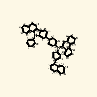 c1ccc(-n2c3cc(-c4ccc(N(c5ccc(-c6cccc7ccccc67)cc5)c5cc6ccccc6c6ccccc56)cc4)ccc3c3ccc4ccccc4c32)cc1